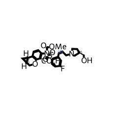 COC(=O)N(c1ccc2c(c1C(=O)O)OC[C@@H]1C[C@H]21)S(=O)(=O)c1ccc(F)cc1/C=C\CN1CC[C@@H](CO)C1